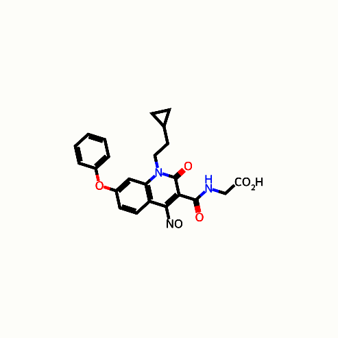 O=Nc1c(C(=O)NCC(=O)O)c(=O)n(CCC2CC2)c2cc(Oc3ccccc3)ccc12